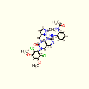 COc1cc(OC)c(Cl)c(N2Cc3cnc(Nc4ccccc4NC(C)=O)nc3N(Cc3ccn(C)n3)C2=O)c1Cl